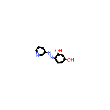 Oc1ccc(/N=N/c2cccnc2)c(O)c1